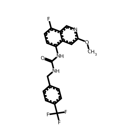 COc1cc2c(NC(=O)NCc3ccc(C(F)(F)F)cc3)ccc(F)c2cn1